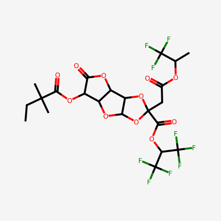 CCC(C)(C)C(=O)OC1C(=O)OC2C3OC(CC(=O)OC(C)C(F)(F)F)(C(=O)OC(C(F)(F)F)C(F)(F)F)OC3OC12